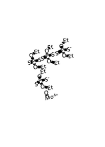 CCOP(=S)([S-])OCC.CCOP(=S)([S-])OCC.CCOP(=S)([S-])OCC.CCOP(=S)([S-])OCC.[O]=[Mo+4]